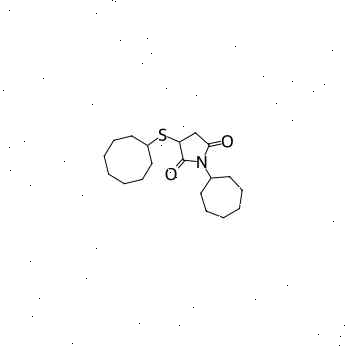 O=C1CC(SC2CCCCCCC2)C(=O)N1C1CCCCCC1